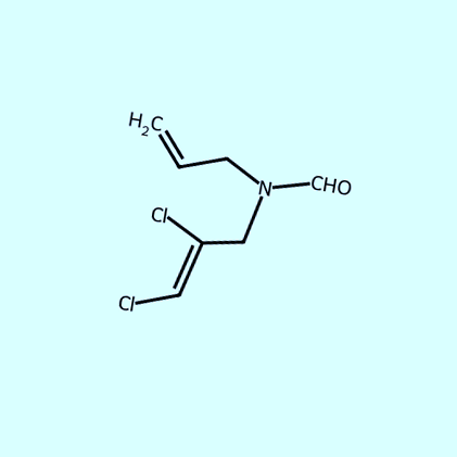 C=CCN(C=O)CC(Cl)=CCl